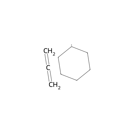 C=C=C.[CH]1CCCCC1